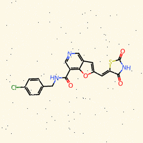 O=C1NC(=O)/C(=C/c2cc3cncc(C(=O)NCc4ccc(Cl)cc4)c3o2)S1